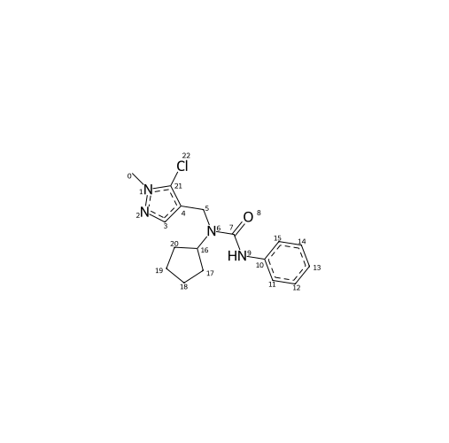 Cn1ncc(CN(C(=O)Nc2ccccc2)C2CCCC2)c1Cl